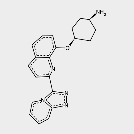 N[C@H]1CC[C@@H](Oc2cccc3ccc(-c4nnc5ccccn45)nc23)CC1